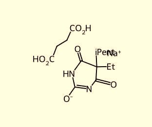 CCCC(C)C1(CC)C(=O)N=C([O-])NC1=O.O=C(O)CCC(=O)O.[Na+]